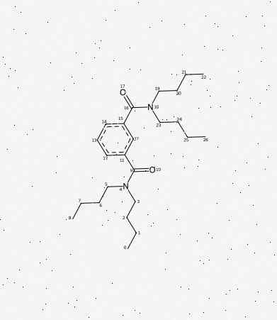 CCCCN(CCCC)C(=O)c1cccc(C(=O)N(CCCC)CCCC)c1